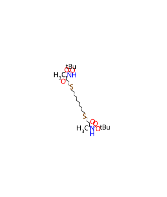 CC(NC(=O)OC(C)(C)C)C(=O)CCSCCCCCCCCCCSCCC(=O)C(C)NC(=O)OC(C)(C)C